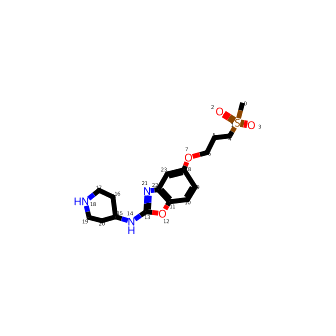 CS(=O)(=O)CCCOc1ccc2oc(NC3CCNCC3)nc2c1